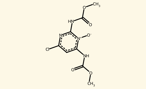 COC(=O)Nc1cc(Cl)nc(NC(=O)OC)[n+]1[O-]